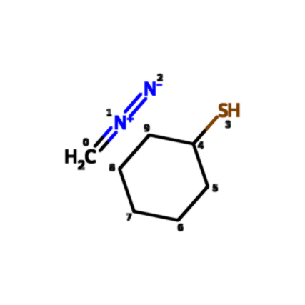 C=[N+]=[N-].SC1CCCCC1